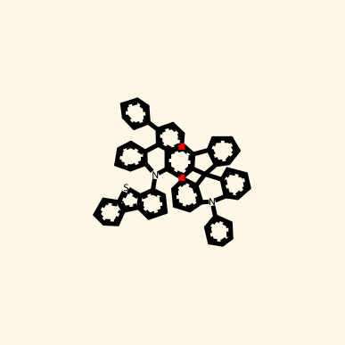 c1ccc(-c2ccccc2-c2ccccc2N(c2ccc3c(c2)C2(c4ccccc4-3)c3ccccc3N(c3ccccc3)c3ccccc32)c2cccc3c2sc2ccccc23)cc1